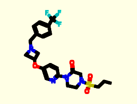 CCCS(=O)(=O)N1CCN(c2ccc(OC3CN(Cc4ccc(C(F)(F)F)cc4)C3)cn2)C(=O)C1